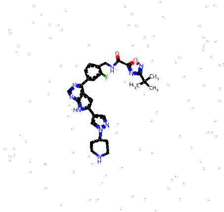 CC(C)(C)c1noc(C(=O)NCc2ccc(-c3ncnc4[nH]c(-c5cnn(C6CCNCC6)c5)cc34)cc2F)n1